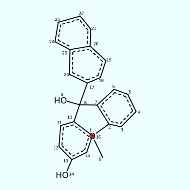 COc1ccccc1C(O)(c1ccc(O)cc1)c1ccc2ccccc2c1